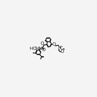 C=C(C)c1cc(C)c(O)c(NC(=O)C(=O)c2ccc(OCCN3CCOCC3)c3ccccc23)c1